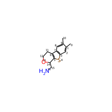 Cc1cc2sc3c(c2cc1C)CCOC3CN